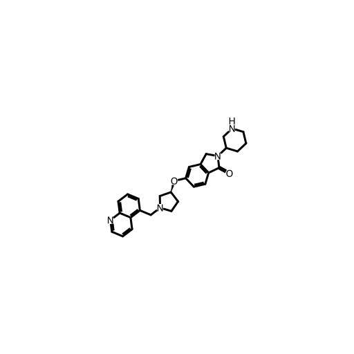 O=C1c2ccc(O[C@H]3CCN(Cc4cccc5ncccc45)C3)cc2CN1C1CCCNC1